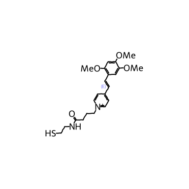 COc1cc(OC)c(OC)cc1/C=C/c1cc[n+](CCCC(=O)NCCS)cc1